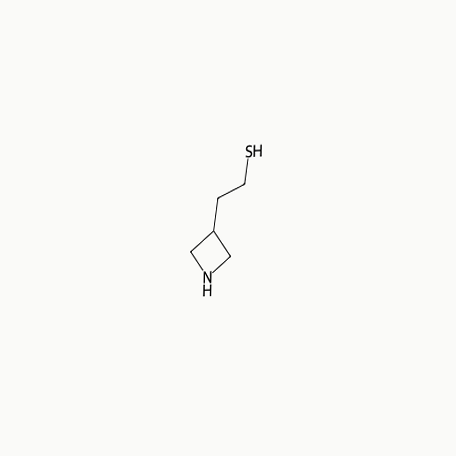 SCCC1CNC1